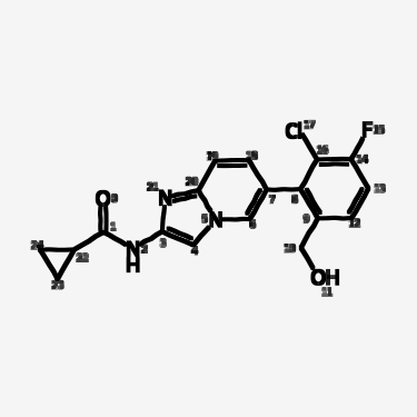 O=C(Nc1cn2cc(-c3c(CO)ccc(F)c3Cl)ccc2n1)C1CC1